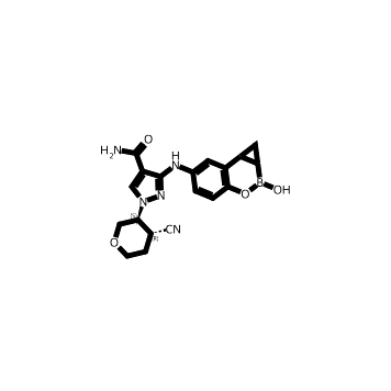 N#C[C@@H]1CCOC[C@H]1n1cc(C(N)=O)c(Nc2ccc3c(c2)C2CC2B(O)O3)n1